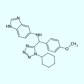 COc1ccc(C(Nc2ccc3[nH]cnc3c2)c2nnnn2C2CCCCC2)cc1